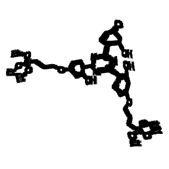 CCO[Si](CCCOc1ccc(-c2nc(C3=C(O)CC(=O)C=C3)nc(-c3ccc(OCCC[Si](OCC)(OCC)OCC)cc3O)n2)c(O)c1)(OCC)OCC